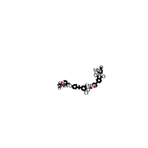 CC(C)(c1ccc(OCc2ccnc(NS(C)(=O)=O)n2)cc1)c1cc(Cl)c(OCCN2CCC(c3ccc4c(c3)C(=O)N(C3CCC(=O)NC3=O)C4=O)CC2)c(C#N)c1